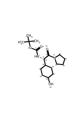 CC(C)(C)OC(=O)N[C@H](C(=O)N1CCCC1)C1CCC(O)CC1